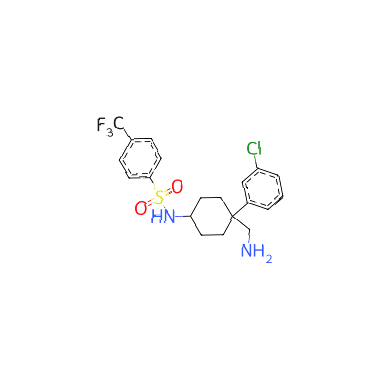 NCC1(c2cccc(Cl)c2)CCC(NS(=O)(=O)c2ccc(C(F)(F)F)cc2)CC1